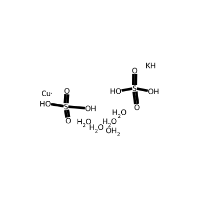 O.O.O.O.O.O=S(=O)(O)O.O=S(=O)(O)O.[Cu].[KH]